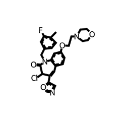 Cc1ccc(CN2C(=O)C(Cl)C(c3cnco3)=Cc3ccc(OCCN4CCOCC4)cc32)cc1F